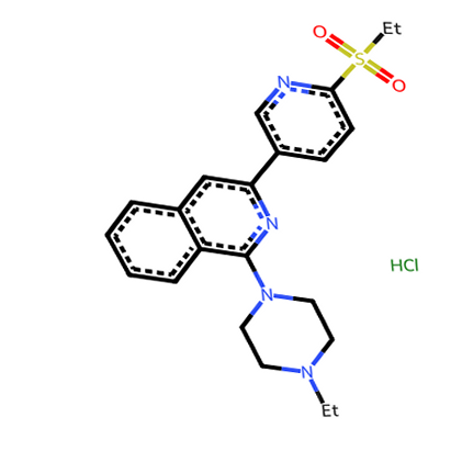 CCN1CCN(c2nc(-c3ccc(S(=O)(=O)CC)nc3)cc3ccccc23)CC1.Cl